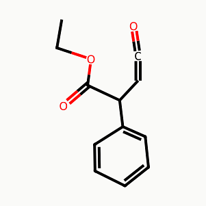 CCOC(=O)C(C=C=O)c1ccccc1